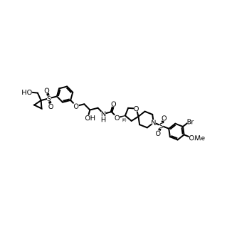 COc1ccc(S(=O)(=O)N2CCC3(CC2)C[C@@H](OC(=O)NCC(O)COc2cccc(S(=O)(=O)C4(CO)CC4)c2)CO3)cc1Br